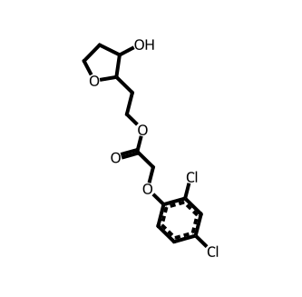 O=C(COc1ccc(Cl)cc1Cl)OCCC1OCCC1O